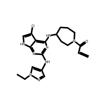 C=CC(=O)N1CCCC(Nc2nc(Nc3cnn(CC)c3)nc3[nH]cc(Cl)c23)CC1